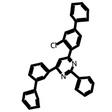 Clc1cc(-c2ccccc2)ccc1-c1cc(-c2cccc(-c3ccccc3)c2)nc(-c2ccccc2)n1